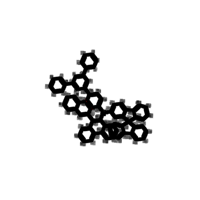 c1ccc(-c2cc(-c3ccccc3)cc(-c3ccc(N(c4ccc5c(c4)C4(c6ccccc6-c6ccccc64)c4ccccc4-5)c4c(-c5ccc6ccccc6c5)c5ccccc5c5ccccc45)cc3)c2)cc1